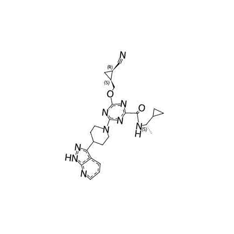 C[C@H](NC(=O)c1nc(OC[C@H]2C[C@H]2C#N)nc(N2CCC(c3n[nH]c4ncccc34)CC2)n1)C1CC1